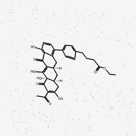 CCOC(=O)CCCc1ccc(-c2ccc(O)c3c2C[C@H]2C[C@H]4CC(O)=C(C(C)=O)C(=O)[C@@]4(O)C(O)=C2C3=O)cc1